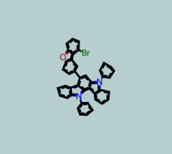 Brc1cccc2oc3ccc(-c4cc5c(c6ccccc6n5-c5ccccc5)c5c4c4ccccc4n5-c4ccccc4)cc3c12